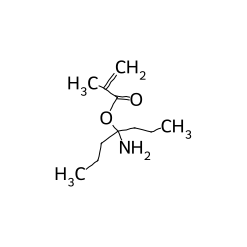 C=C(C)C(=O)OC(N)(CCC)CCC